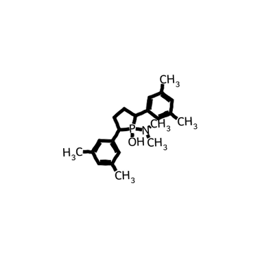 Cc1cc(C)cc(C2CCC(c3cc(C)cc(C)c3)[P]2(O)N(C)C)c1